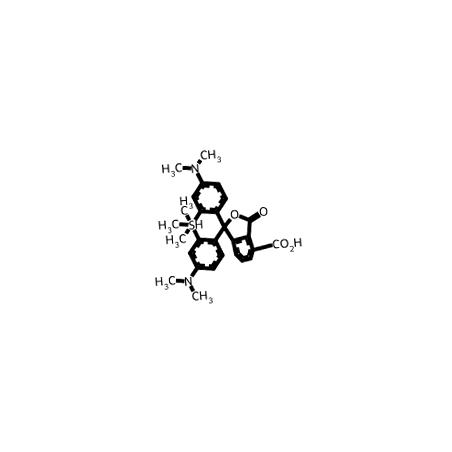 CN(C)c1ccc2c(c1)[SH](C)(C)(C)c1cc(N(C)C)ccc1C21OC(=O)c2c(C(=O)O)cccc21